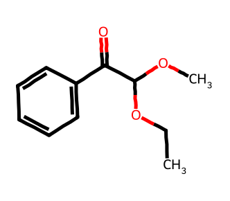 CCOC(OC)C(=O)c1ccccc1